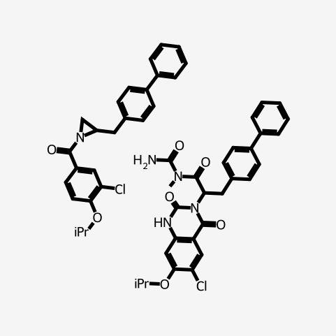 CC(C)Oc1cc2[nH]c(=O)n(C(Cc3ccc(-c4ccccc4)cc3)C(=O)N(C)C(N)=O)c(=O)c2cc1Cl.CC(C)Oc1ccc(C(=O)N2CC2Cc2ccc(-c3ccccc3)cc2)cc1Cl